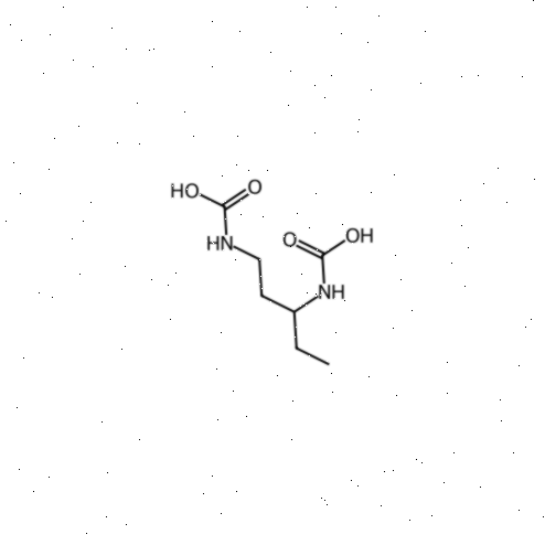 CCC(CCNC(=O)O)NC(=O)O